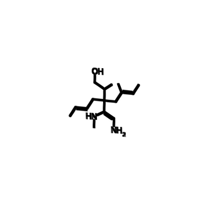 C/C=C/CC(C/C(C)=C/C)(/C(=C/N)NC)C(C)CO